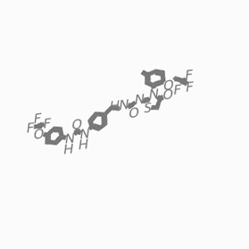 Cc1ccc(OCC(F)(F)F)c(N2C(=O)CSC2=NC(=O)NCCc2ccc(NC(=O)Nc3ccc(OC(F)(F)F)cc3)cc2)c1